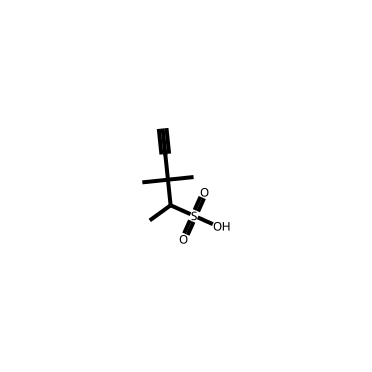 C#CC(C)(C)C(C)S(=O)(=O)O